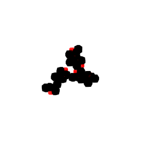 c1ccc(-c2c3ccccc3c(-c3ccc(-c4ccc(-c5c6ccccc6c(-c6cccc7oc8c9ccccc9ccc8c67)c6ccccc56)c5c4oc4ccccc45)c4oc5c6cc(-c7ccc8c(c7)oc7cccc(-c9c%10ccccc%10c(-c%10ccc(-c%11cccc%12oc%13c%14ccccc%14ccc%13c%11%12)cc%10)c%10ccccc9%10)c78)ccc6ccc5c34)c3ccccc23)c(-c2cccc3ccccc23)c1